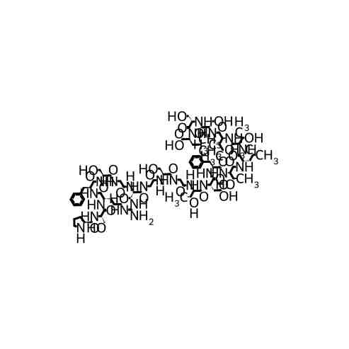 CC[C@H](C)[C@H](NC(=O)[C@@H](NC(=O)[C@H](CC(C)C)NC(=O)[C@@H](NC(=O)[C@H](Cc1ccccc1)NC(=O)[C@H](CC(=O)O)NC(=O)[C@@H](NC(=O)CNC(=O)[C@H](CO)NC(=O)CNC(=O)[C@H](CO)NC(=O)CNC(=O)[C@H](CO)NC(=O)[C@H](Cc1ccccc1)NC(=O)[C@H](CCCNC(=N)N)NC(=O)[C@H](CO)NC(=O)[C@@H]1CCCN1)[C@@H](C)O)[C@@H](C)O)[C@@H](C)O)C(=O)N[C@@H](CO)C(=O)N[C@@H](CO)C(=O)N[C@@H](CC(C)C)C(=O)O